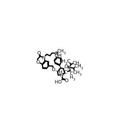 COCCCN1C(=O)COc2ccc(CO[C@H]3CN(C(=O)O)C[C@@H](O[Si](C(C)C)(C(C)C)C(C)C)[C@@H]3c3ccc(O)cc3)cc21